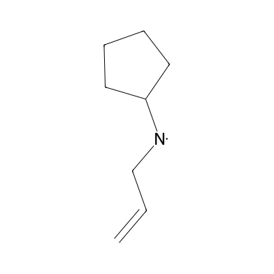 C=CC[N]C1CCCC1